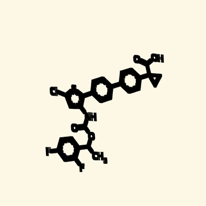 CC(OC(=O)Nc1cc(Cl)sc1-c1ccc(-c2ccc(C3(C(=O)O)CC3)cc2)cc1)c1ccc(F)cc1F